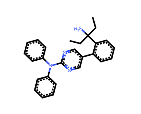 CCC(N)(CC)c1ccccc1-c1cnc(N(c2ccccc2)c2ccccc2)nc1